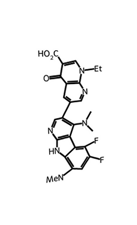 CCn1cc(C(=O)O)c(=O)c2cc(-c3cnc4[nH]c5c(NC)cc(F)c(F)c5c4c3N(C)C)cnc21